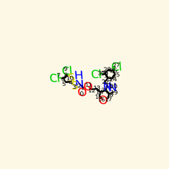 O=C(NSc1cc(Cl)c(Cl)s1)OC/C=C1\COCc2cnn(Cc3ccc(Cl)cc3Cl)c21